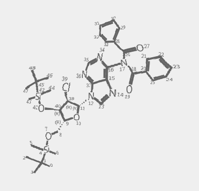 CC(C)(C)[Si](C)(C)OC[C@H]1O[C@@H](n2cnc3c(N(C(=O)c4ccccc4)C(=O)c4ccccc4)ncnc32)[C@H](Cl)[C@@H]1O[Si](C)(C)C(C)(C)C